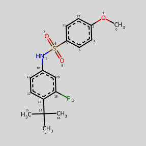 COc1ccc(S(=O)(=O)Nc2ccc(C(C)(C)C)c(F)c2)cc1